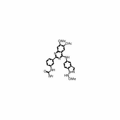 CCCC(=O)Nc1cccc(-c2nc(Nc3ccc4c(c3)C=NB4NOC)c3cc(OC(C)=O)c(OC)cc3n2)c1